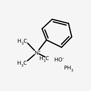 C[N+](C)(C)c1ccccc1.P.[OH-]